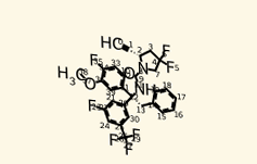 C#C[C@@H]1CC(F)(F)CN1C(=O)N[C@@](Cc1ccccc1)(c1cc(F)cc(C(F)(F)F)c1)c1ccc(F)c(OC)c1